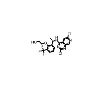 C[C@@H](Nc1nc(Cl)nc2cnc(Cl)cc12)c1cccc(C(F)(F)F)c1OCCO